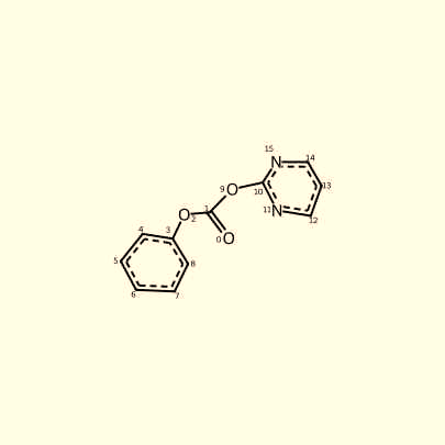 O=C(Oc1ccccc1)Oc1ncccn1